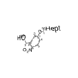 CCCCCCCCOc1ccc([N+](=O)[O-])c(CO)c1